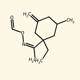 C=C1CC(C)CC(CC)(/C(C)=N\OC=O)C1